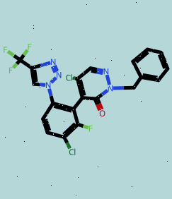 O=c1c(-c2c(-n3cc(C(F)(F)F)nn3)ccc(Cl)c2F)c(Cl)cnn1Cc1ccccc1